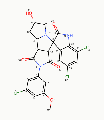 COc1cc(Cl)cc(N2C(=O)C3C4C[C@H](O)CN4C4(C(=O)Nc5c(Cl)cc(Cl)cc54)C3C2=O)c1